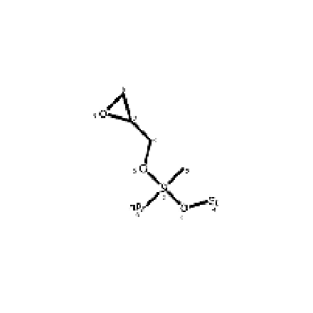 CCC[Si](C)(OCC)OCC1CO1